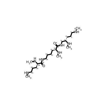 CNCCC[C@@H](CNC(=O)[C@H](CCCCNC(=O)[C@@H](CCCNC)NC)NC)NC